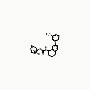 O=C(NC1CCOc2ccc(-c3cccc(C(F)(F)F)c3)cc21)O[C@H]1CN2CCC1CC2